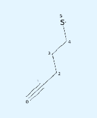 C#CCCC[S]